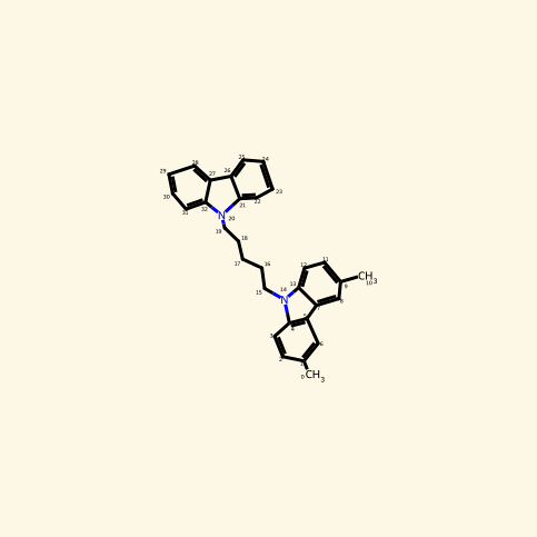 Cc1ccc2c(c1)c1cc(C)ccc1n2CCCCCn1c2ccccc2c2ccccc21